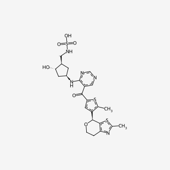 Cc1nc2c(s1)[C@H](c1cc(C(=O)c3cncnc3N[C@H]3C[C@H](O)[C@@H]([CH]NS(=O)(=O)O)C3)sc1C)OCC2